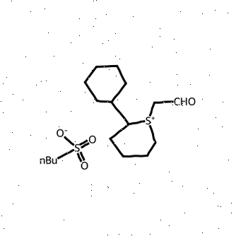 CCCCS(=O)(=O)[O-].O=CC[S+]1CCCCC1C1CCCCC1